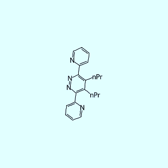 CCCc1c(-c2ccccn2)nnc(-c2ccccn2)c1CCC